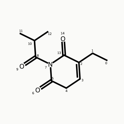 CCC1=CCC(=O)N(C(=O)C(C)C)C1=O